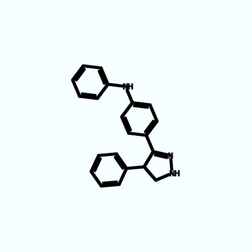 c1ccc(Nc2ccc(C3=NNCC3c3ccccc3)cc2)cc1